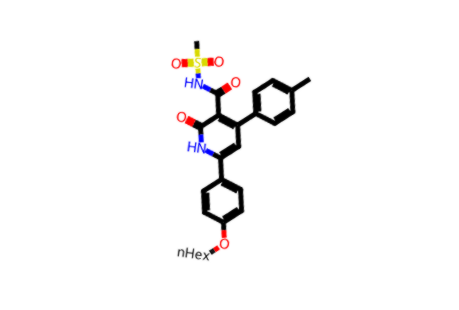 CCCCCCOc1ccc(-c2cc(-c3ccc(C)cc3)c(C(=O)NS(C)(=O)=O)c(=O)[nH]2)cc1